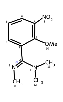 C/N=C(/c1cccc([N+](=O)[O-])c1OC)N(C)C